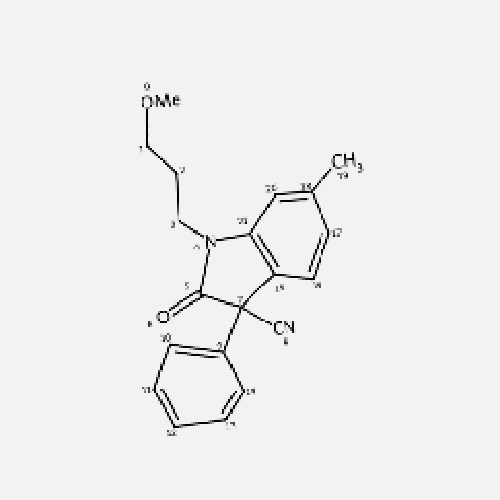 COCCCN1C(=O)C(C#N)(c2ccccc2)c2ccc(C)cc21